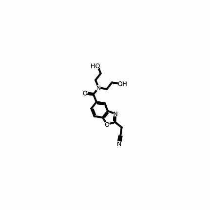 N#CCc1nc2cc(C(=O)N(CCO)CCO)ccc2o1